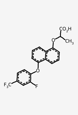 CC(Oc1cccc2c(Oc3ccc(C(F)(F)F)cc3F)cccc12)C(=O)O